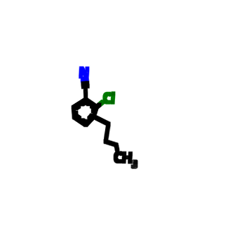 CCCCc1cccc(C#N)c1Cl